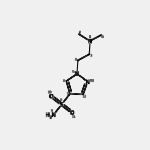 CN(C)CCn1cc(S(N)(=O)=O)cn1